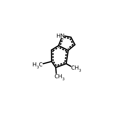 Cc1cc2[nH]ccc2c(C)c1C